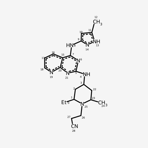 CCC1CC(Nc2nc(Nc3cc(C)[nH]n3)c3cccnc3n2)CC(C)N1CCC#N